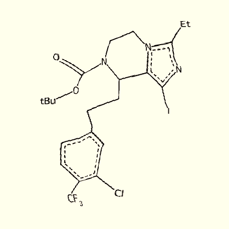 CCc1nc(I)c2n1CCN(C(=O)OC(C)(C)C)C2CCc1ccc(C(F)(F)F)c(Cl)c1